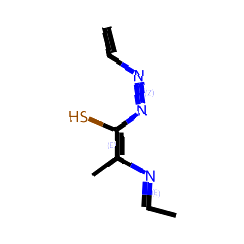 C=C\N=N/C(S)=C(C)\N=C\C